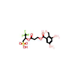 BCc1c(B)cc(B)cc1C(=O)OCCC(=O)OC(CS(=O)(=O)O)C(F)(F)F